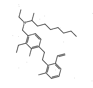 C=Cc1cccc(C)c1CCc1ccc(CN(CC)C(C)CCCCCCC)c(CC)c1C